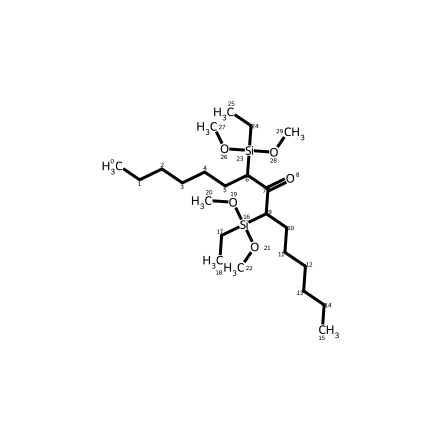 CCCCCCC(C(=O)C(CCCCCC)[Si](CC)(OC)OC)[Si](CC)(OC)OC